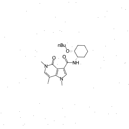 CCCCO[C@@H]1CCCC[C@@H]1NC(=O)c1cn(C)c2c(C)cn(C)c(=O)c12